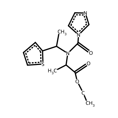 CCOC(=O)C(C)N(C(=O)n1ccnc1)C(C)c1cccs1